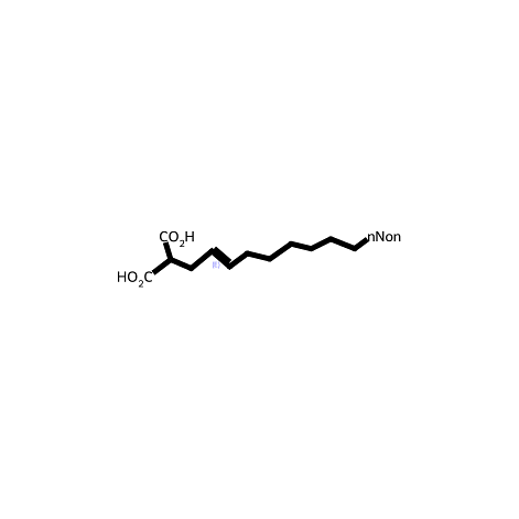 CCCCCCCCCCCCCCC/C=C/CC(C(=O)O)C(=O)O